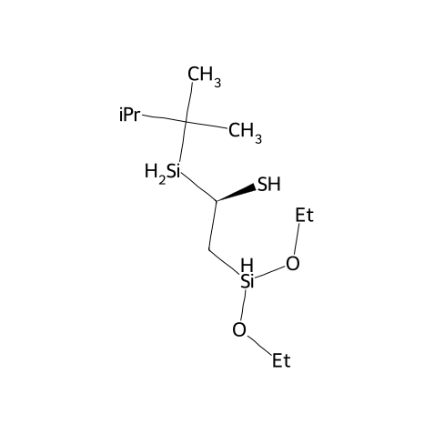 CCO[SiH](C[C@H](S)[SiH2]C(C)(C)C(C)C)OCC